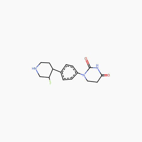 O=C1CCN(c2ccc(C3CCNCC3F)cc2)C(=O)N1